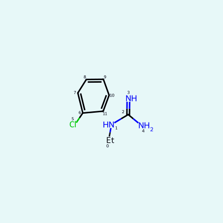 CCNC(=N)N.Clc1ccccc1